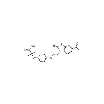 CC(=O)c1ccc2c(c1)sc(=O)n2CCOc1ccc(OC(C)(C)C(=O)O)cc1